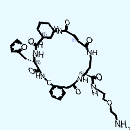 NCCOCCNC(=O)[C@@H]1CCNC(=O)/C=C/C(=O)N[C@@H]2CCC[C@@H](C2)C(=O)N[C@@H](Cc2ccco2)C(=O)NCc2ccccc2CC(=O)N1